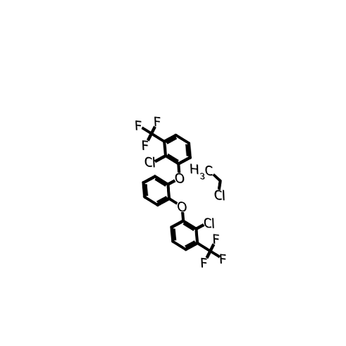 CCCl.FC(F)(F)c1cccc(Oc2ccccc2Oc2cccc(C(F)(F)F)c2Cl)c1Cl